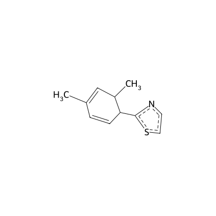 CC1=CC(C)C(c2nccs2)C=C1